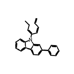 C=C/C=C\C(=C/CC)n1c2ccccc2c2ccc(-c3ccccc3)cc21